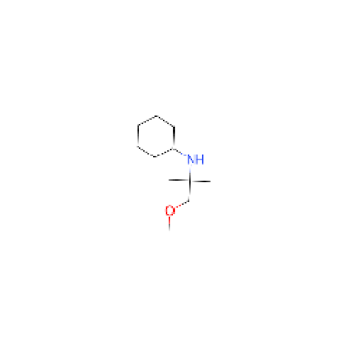 COCC(C)(C)NC1CCCCC1